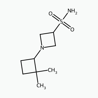 CC1(C)CCC1N1CC(S(N)(=O)=O)C1